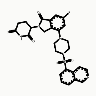 O=C1CCC(N2Cc3c(cc(F)cc3N3CCN(S(=O)(=O)c4cccc5cnccc45)CC3)C2=O)C(=O)N1